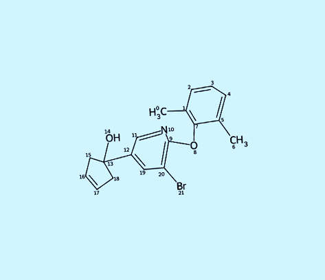 Cc1cccc(C)c1Oc1ncc(C2(O)CC=CC2)cc1Br